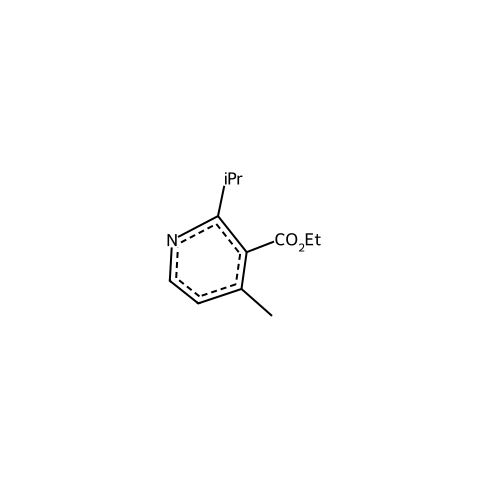 CCOC(=O)c1c(C)ccnc1C(C)C